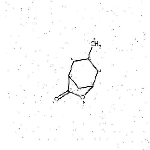 CC1CC2CC(C1)C(=O)O2